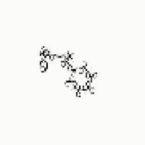 CC(=O)O[C@@H](C)C(=O)O[C@@H](C)C(=O)O[C@@H](C)C(=O)O[C@@H](C)C(=O)O[C@@H](C)C(=O)O[C@@H](C)C(=O)N(CCCOc1nsnc1N1CCOCC1)C(C)(C)C